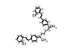 CC[n+]1ccccc1/C=C/c1ccc(N(C)CCCCN(C)c2ccc(/C=C/c3cccc[n+]3CC)cc2)cc1